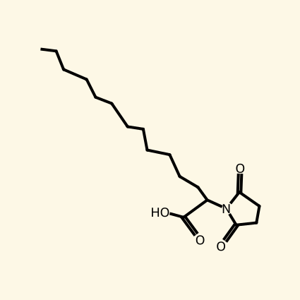 CCCCCCCCCCCCC(C(=O)O)N1C(=O)CCC1=O